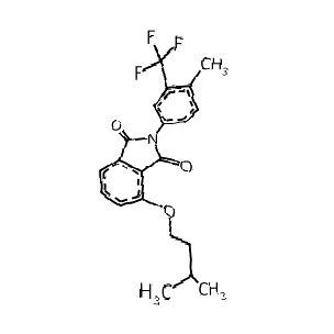 Cc1ccc(N2C(=O)c3cccc(OCCC(C)C)c3C2=O)cc1C(F)(F)F